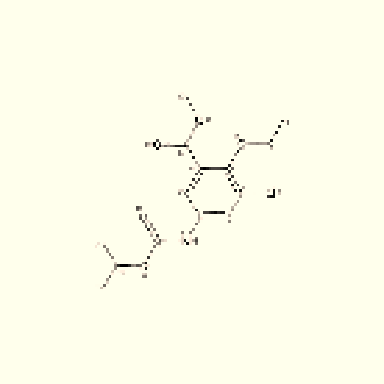 CCOc1c(Cl)cc(NC(=O)OC(C)C)cc1C(=O)OC